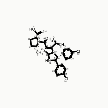 CC(C)C1=C(C(=O)N2[C@H](C)CC[C@H]2C(=O)O)SC2NC(c3ccc(Cl)cc3)[C@@H](c3ccc(Cl)cc3)N12